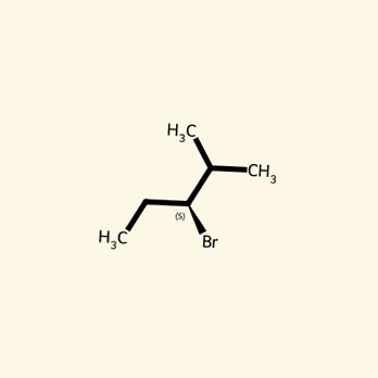 CC[C@H](Br)C(C)C